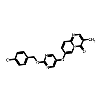 Cc1cnc2ccc(Oc3cnc(OCc4ccc(Cl)cc4)nc3)cn2c1=O